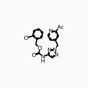 CC(=O)c1cc(Cn2ncc(NC(=O)OCc3ccccc3Cl)n2)ccn1